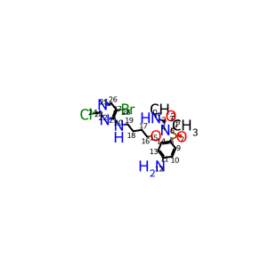 CNC(=O)N=S(C)(=O)c1ccc(N)cc1OCCCCNc1nc(Cl)ncc1Br